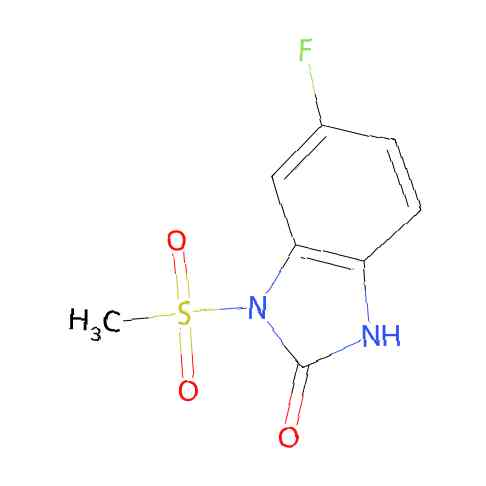 CS(=O)(=O)n1c(=O)[nH]c2ccc(F)cc21